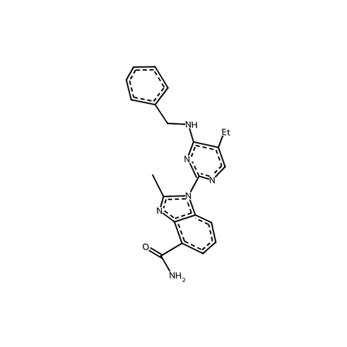 CCc1cnc(-n2c(C)nc3c(C(N)=O)cccc32)nc1NCc1ccccc1